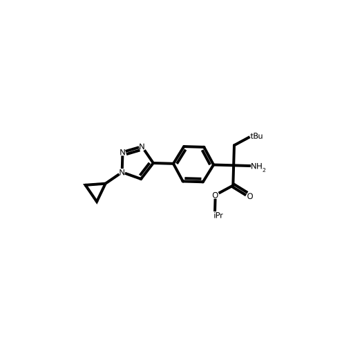 CC(C)OC(=O)C(N)(CC(C)(C)C)c1ccc(-c2cn(C3CC3)nn2)cc1